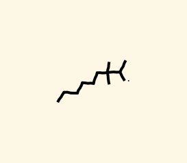 [CH2]C(C)C(C)(C)CCCCCC